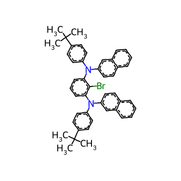 CC(C)(C)c1ccc(N(c2ccc3ccccc3c2)c2cccc(N(c3ccc(C(C)(C)C)cc3)c3ccc4ccccc4c3)c2Br)cc1